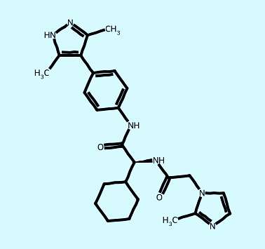 Cc1n[nH]c(C)c1-c1ccc(NC(=O)[C@@H](NC(=O)Cn2ccnc2C)C2CCCCC2)cc1